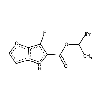 CC(C)C(C)OC(=O)c1[nH]c2ccoc2c1F